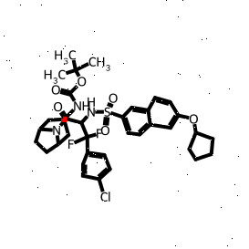 CC(C)(C)OC(=O)NC1CC2CCC(C1)N2C(=O)C(NS(=O)(=O)c1ccc2cc(OC3CCCC3)ccc2c1)C(F)(F)c1ccc(Cl)cc1